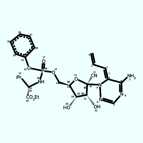 C=C/C=C1/C(N)=NC=NN1[C@]1(C#N)O[C@H](COP(=O)(N[C@H](C(=O)OCC)C(C)C)Oc2ccccc2)[C@@H](O)[C@H]1O